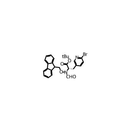 CC(C)(C)OC(=O)[C@H](Cc1ccc(Br)nc1)N(C=O)OCC1c2ccccc2-c2ccccc21